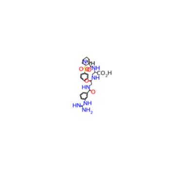 N=C(N)Nc1cccc(C(=O)NCC(=O)NC[C@@H](NC(=O)[C@H]2C3CCC(CC3)N2S(=O)(=O)c2ccccc2)C(=O)O)c1